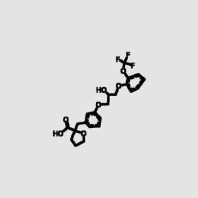 O=C(O)C1(Cc2cccc(OCC(O)COc3ccccc3OC(F)(F)F)c2)CCCO1